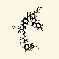 COC(=O)/C(CCNC(=O)C(=O)Nc1cccc(S(=O)(=O)C(F)(F)F)c1)=N\C(=O)c1ccc(Nc2nc(NC3(c4ccc(Cl)cc4)CC3)nc(OCC(F)(F)F)n2)cc1